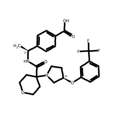 C[C@H](NC(=O)C1(N2CC[C@@H](Oc3cccc(C(F)(F)F)c3)C2)CCOCC1)c1ccc(C(=O)O)cc1